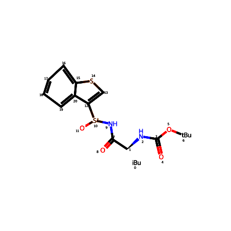 CC[C@H](C)[C@H](NC(=O)OC(C)(C)C)C(=O)N[S+]([O-])c1csc2ccccc12